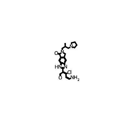 CC(CN1CCCC1)CN1Cc2cc3nc(/C(C=O)=C(Cl)/C=C\N)[nH]c3cc2C1=O